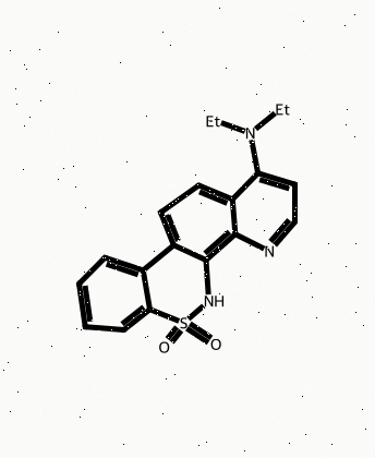 CCN(CC)c1ccnc2c3c(ccc12)-c1ccccc1S(=O)(=O)N3